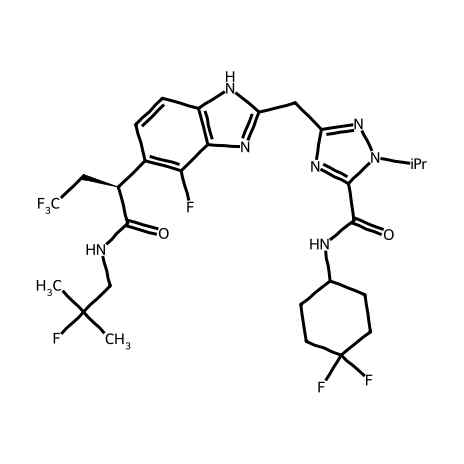 CC(C)n1nc(Cc2nc3c(F)c([C@H](CC(F)(F)F)C(=O)NCC(C)(C)F)ccc3[nH]2)nc1C(=O)NC1CCC(F)(F)CC1